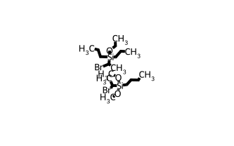 CCCC[Si](OC)(OC)C(C)Br.CCC[Si](CCC)(OCC)C(C)Br